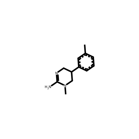 Cc1cccc(C2CN=C(N)N(C)C2)c1